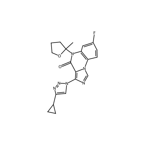 CC1(n2c(=O)c3c(-n4cc(C5CC5)nn4)ncn3c3ccc(F)cc32)CCCO1